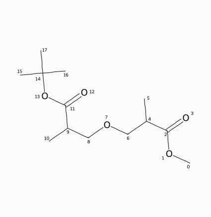 COC(=O)C(C)COCC(C)C(=O)OC(C)(C)C